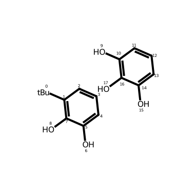 CC(C)(C)c1cccc(O)c1O.Oc1cccc(O)c1O